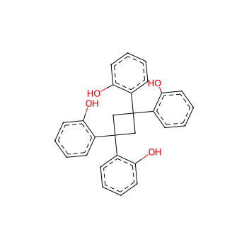 Oc1ccccc1C1(c2ccccc2O)CC(c2ccccc2O)(c2ccccc2O)C1